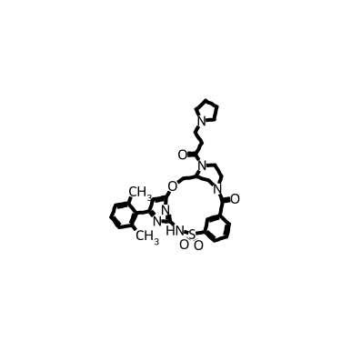 Cc1cccc(C)c1-c1cc2nc(n1)NS(=O)(=O)c1cccc(c1)C(=O)N1CCN(C(=O)CCN3CCCC3)C(CO2)C1